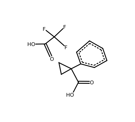 O=C(O)C(F)(F)F.O=C(O)C1(c2ccccc2)CC1